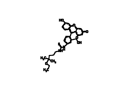 CCOC(C)(C)CCCNC(=S)Nc1ccc(-c2c3ccc(=O)cc-3oc3cc(O)ccc23)c(C(=O)O)c1